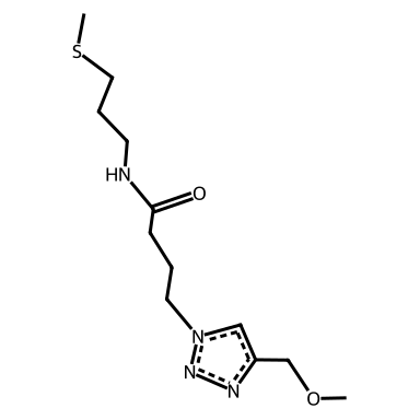 COCc1cn(CCCC(=O)NCCCSC)nn1